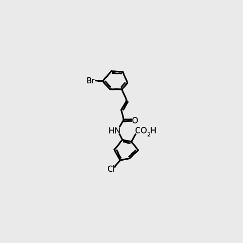 O=C(C=Cc1cccc(Br)c1)Nc1cc(Cl)ccc1C(=O)O